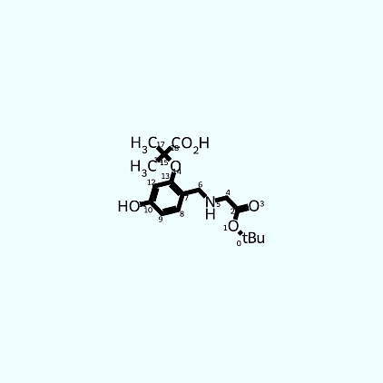 CC(C)(C)OC(=O)CNCc1ccc(O)cc1OC(C)(C)C(=O)O